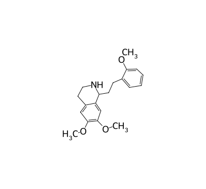 COc1ccccc1CCC1NCCc2cc(OC)c(OC)cc21